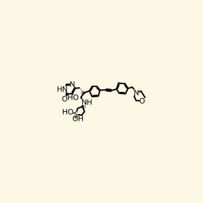 O=c1[nH]cnc(C[C@@H](CN[C@@H]2CCS(O)(O)C2)c2ccc(C#Cc3ccc(CN4CCOCC4)cc3)cc2)c1O